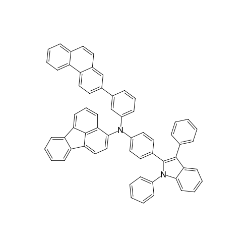 c1ccc(-c2c(-c3ccc(N(c4cccc(-c5ccc6c(ccc7ccccc76)c5)c4)c4ccc5c6c(cccc46)-c4ccccc4-5)cc3)n(-c3ccccc3)c3ccccc23)cc1